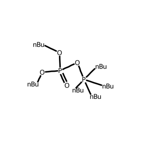 CCCCOP(=O)(OCCCC)OP(CCCC)(CCCC)(CCCC)CCCC